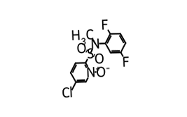 CN(c1cc(F)ccc1F)S(=O)(=O)c1ccc(Cl)c[n+]1[O-]